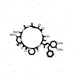 CCC1/C=C(\C)CC(C)CC(OC)C2OC(O)(C(=O)C(=O)N3CCCCC3C(=O)OC(C(C)=CC3(Cc4ccccc4)CC[C@H](O)C(OC)C3)C(C)C(O)CC1=O)C(C)CC2OC